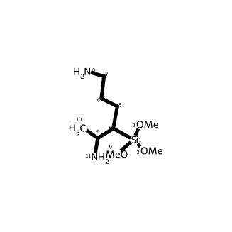 CO[Si](OC)(OC)C(CCCN)C(C)N